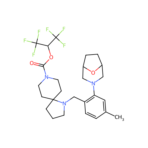 Cc1ccc(CN2CCCC23CCN(C(=O)OC(C(F)(F)F)C(F)(F)F)CC3)c(N2CC3CCC(C2)O3)c1